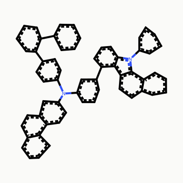 c1ccc(-c2ccccc2-c2ccc(N(c3cccc(-c4cccc5c4c4ccc6ccccc6c4n5-c4ccccc4)c3)c3ccc4c(ccc5ccccc54)c3)cc2)cc1